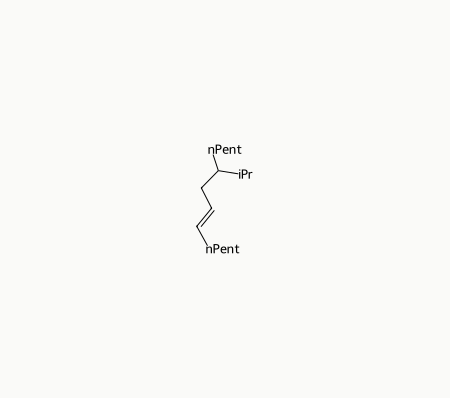 [CH2]CCCC/C=C/CC(CCCC[CH2])C(C)C